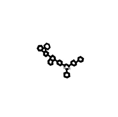 c1ccc(-c2ccc(-c3cc(-c4ccc(-c5ccc(-c6ccc7c(c6)C6(CCCCC6)c6ccccc6-7)c6ccccc56)cc4)nc(-c4ccccc4)n3)cc2)cc1